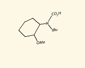 COC1CCCCC1N(C(=O)O)C(C)(C)C